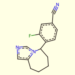 N#Cc1ccc(C2CCCCc3cncn32)c(F)c1